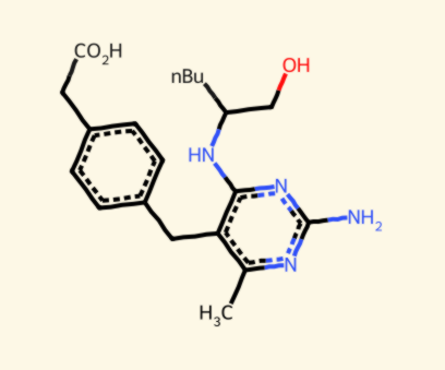 CCCCC(CO)Nc1nc(N)nc(C)c1Cc1ccc(CC(=O)O)cc1